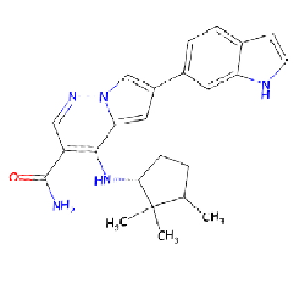 CC1CC[C@@H](Nc2c(C(N)=O)cnn3cc(-c4ccc5cc[nH]c5c4)cc23)C1(C)C